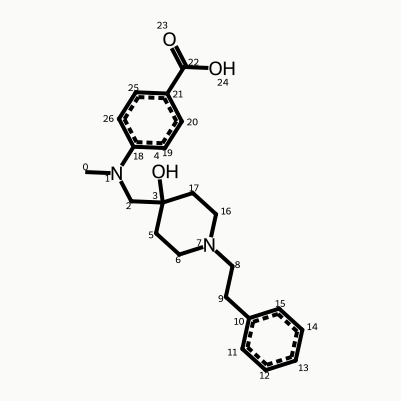 CN(CC1(O)CCN(CCc2ccccc2)CC1)c1ccc(C(=O)O)cc1